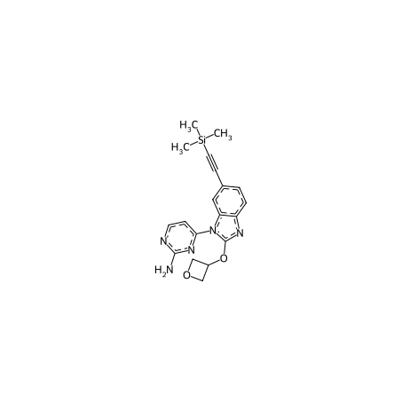 C[Si](C)(C)C#Cc1ccc2nc(OC3COC3)n(-c3ccnc(N)n3)c2c1